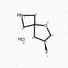 Cl.F[C@@H]1COC2(CNC2)C1